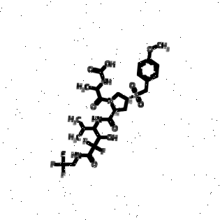 COc1ccc(CS(=O)(=O)[C@@H]2C[C@@H](C(=O)NC(C(C)C)C(O)C(F)(F)C(=O)NCC(F)(F)F)N(C(=O)C(C)NC(=O)O)C2)cc1